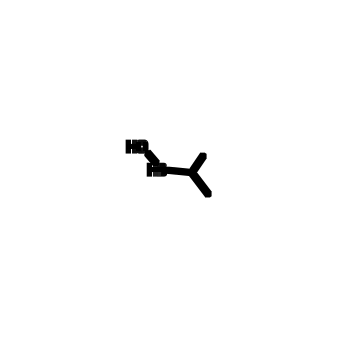 CC(C)BO